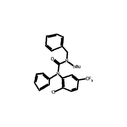 CCCCN(Cc1ccccc1)C(=O)N(c1ccccc1)c1cc(C(F)(F)F)ccc1Cl